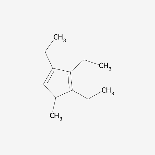 CCC1=[C]C(C)C(CC)=C1CC